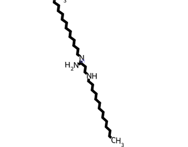 CCCCCCCCCCCCCC/N=C(\N)CCNCCCCCCCCCCCCCC